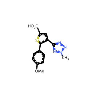 COc1ccc(-c2sc(C(=O)O)cc2-c2nnn(C)n2)cc1